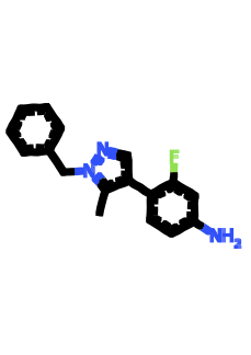 Cc1c(-c2ccc(N)cc2F)cnn1Cc1ccccc1